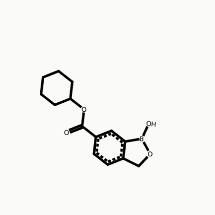 O=C(OC1CCCCC1)c1ccc2c(c1)B(O)OC2